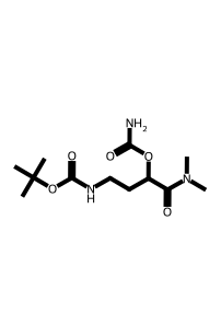 CN(C)C(=O)C(CCNC(=O)OC(C)(C)C)OC(N)=O